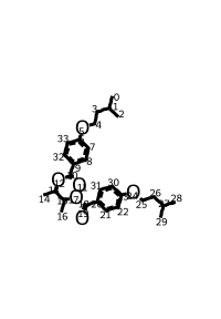 CC(C)CCOc1ccc(C(=O)OC(C)C(C)OC(=O)c2ccc(OCCC(C)C)cc2)cc1